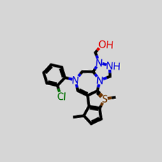 CC1C=CC2=C1C1=CN(c3ccccc3Cl)CC3N(CO)NCN3C1=S2C